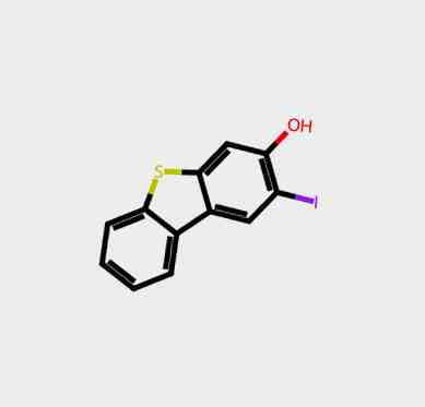 Oc1cc2sc3ccccc3c2cc1I